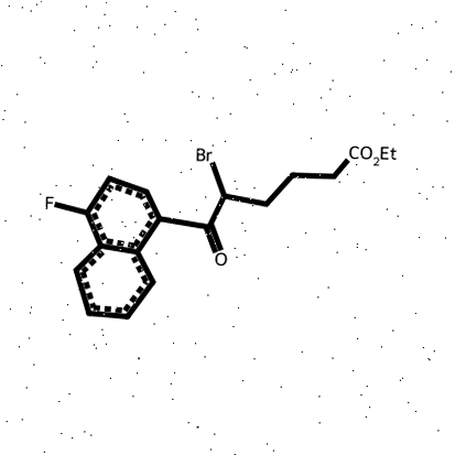 CCOC(=O)CCCC(Br)C(=O)c1ccc(F)c2ccccc12